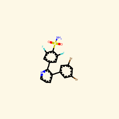 NS(=O)(=O)c1c(F)cc(-c2ncccc2-c2cc(Br)cc(Br)c2)cc1F